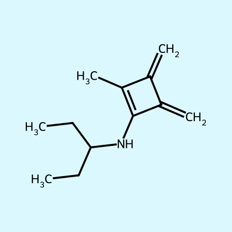 C=C1C(=C)C(NC(CC)CC)=C1C